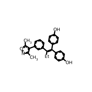 CCC(=C(c1ccc(O)cc1)c1ccc(O)cc1)c1cccc(-c2c(C)noc2C)c1